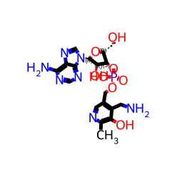 Cc1ncc(COP(=O)(O)O[C@H]2[C@@H](O)[C@H](n3cnc4c(N)ncnc43)O[C@@H]2CO)c(CN)c1O